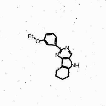 CCOc1cccc(-c2ncc3[nH]c4c(c3n2)CCCC4)c1